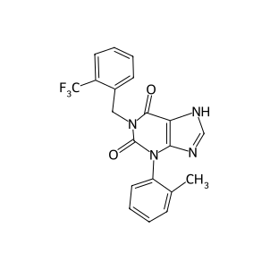 Cc1ccccc1-n1c(=O)n(Cc2ccccc2C(F)(F)F)c(=O)c2[nH]cnc21